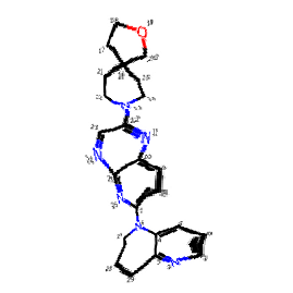 c1cnc2c(c1)N(c1ccc3nc(N4CCC5(CCOC5)CC4)cnc3n1)CCC2